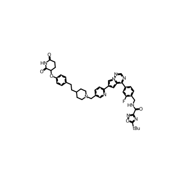 CC(C)(C)c1nc(C(=O)NCc2ccc(-c3ncnn4cc(-c5ccc(CN6CCC(CCc7ccc(OC8CCC(=O)NC8=O)cc7)CC6)cn5)cc34)cc2F)no1